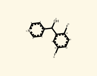 OC(c1ccncc1)c1cc(F)ccc1F